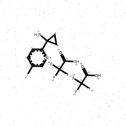 NC1(c2ccc(I)cn2)CC1.O=C(O)C(F)(F)F.O=C(O)C(F)(F)F